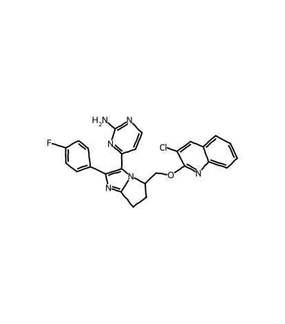 Nc1nccc(-c2c(-c3ccc(F)cc3)nc3n2C(COc2nc4ccccc4cc2Cl)CC3)n1